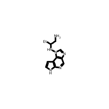 CCC(CN)Nn1cnc2cnc3[nH]ccc3c21